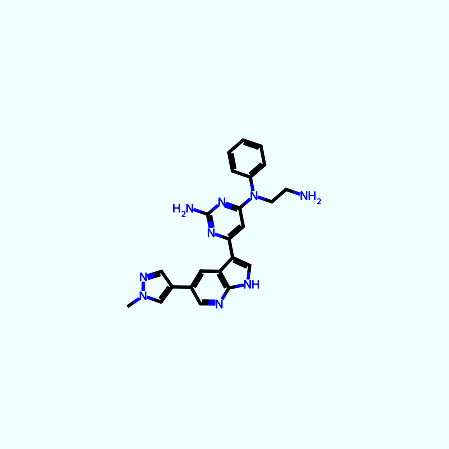 Cn1cc(-c2cnc3[nH]cc(-c4cc(N(CCN)c5ccccc5)nc(N)n4)c3c2)cn1